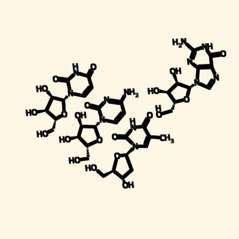 Cc1cn([C@H]2C[C@H](O)[C@@H](CO)O2)c(=O)[nH]c1=O.Nc1ccn([C@@H]2O[C@H](CO)[C@@H](O)[C@H]2O)c(=O)n1.Nc1nc2c(ncn2[C@@H]2O[C@H](CO)[C@@H](O)[C@H]2O)c(=O)[nH]1.O=c1ccn([C@@H]2O[C@H](CO)[C@@H](O)[C@H]2O)c(=O)[nH]1